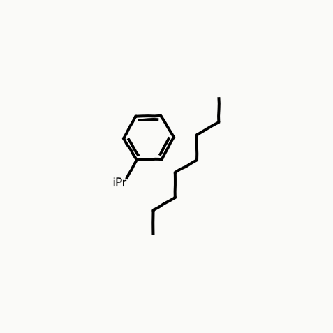 CC(C)c1ccccc1.CCCCCCCC